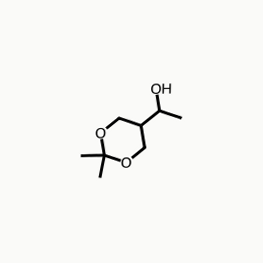 CC(O)C1COC(C)(C)OC1